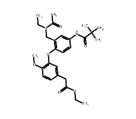 CCOC(=O)Cc1ccc(OC)c(Oc2ccc(NC(=O)C(C)(C)C)cc2CN(CC)C(C)=O)c1